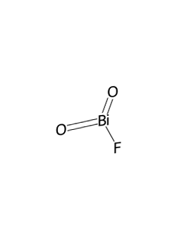 [O]=[Bi](=[O])[F]